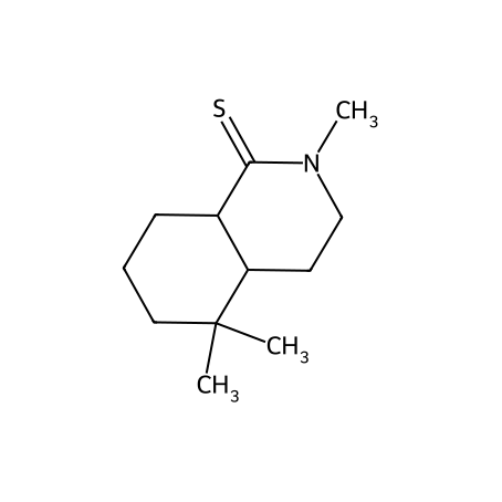 CN1CCC2C(CCCC2(C)C)C1=S